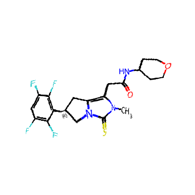 Cn1c(CC(=O)NC2CCOCC2)c2n(c1=S)C[C@@H](c1c(F)c(F)cc(F)c1F)C2